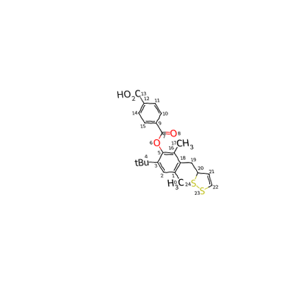 Cc1cc(C(C)(C)C)c(OC(=O)c2ccc(C(=O)O)cc2)c(C)c1CC1C=CSS1